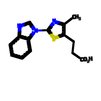 Cc1nc(-n2cnc3ccccc32)sc1CCC(=O)O